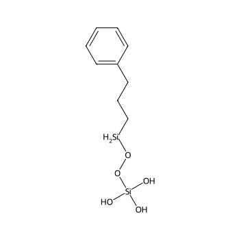 O[Si](O)(O)OO[SiH2]CCCc1ccccc1